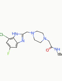 CC(C)(C)NC(=O)CN1CCN(Cc2nc3cc(F)cc(Cl)c3[nH]2)CC1